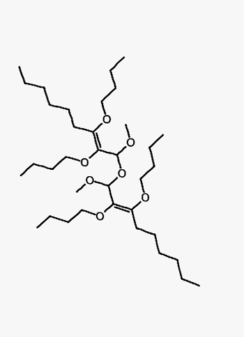 CCCCCCC(OCCCC)=C(OCCCC)C(OC)OC(OC)C(OCCCC)=C(CCCCCC)OCCCC